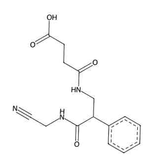 N#CCNC(=O)C(CNC(=O)CCC(=O)O)c1ccccc1